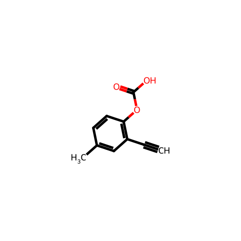 C#Cc1cc(C)ccc1OC(=O)O